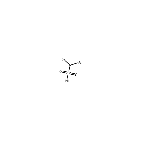 CCCCN(CC)S(N)(=O)=O